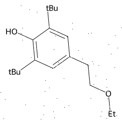 [CH2]COCCc1cc(C(C)(C)C)c(O)c(C(C)(C)C)c1